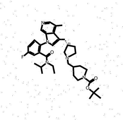 CCN(C(=O)c1cc(F)ccc1-n1cc(C[C@@H]2CCN(CC3CCN(C(=O)OC(C)(C)C)CC3)C2)c2c(C)cncc21)C(C)C